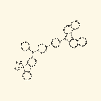 CC1(C)c2ccccc2-c2ccc(N(c3ccccc3)c3ccc(-c4ccc(-n5c6ccc7ccccc7c6c6c7ccccc7ccc65)cc4)cc3)cc21